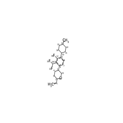 C=CC1CCC(c2ccc(C3CCC(C)CC3)c(F)c2C(F)F)CO1